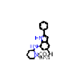 COCc1cc(NC2CCCCN2C(=O)O)c2[nH]c(-c3ccccc3)cc2c1